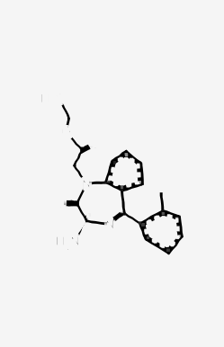 CCOC(=O)CN1C(=O)[C@H](N)N=C(c2ccccc2F)c2ccccc21